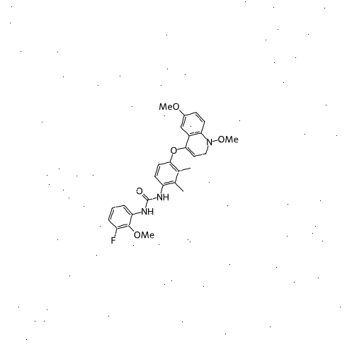 COc1ccc2c(c1)C(Oc1ccc(NC(=O)Nc3cccc(F)c3OC)c(C)c1C)=CCN2OC